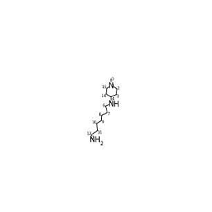 CN1CCC(NCCCCCCCN)CC1